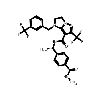 CNC(=O)c1ccc([C@H](C)NC(=O)c2c(C(F)(F)F)nn3c2N(Cc2cccc(C(F)(F)F)c2)CC3)cc1